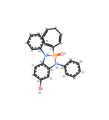 O=P1(C2=CC=CCC=C2)N(c2ccccc2)c2ccc(Br)cc2N1c1ccccc1